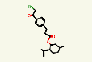 CC1CCC(C(C)C)C(OC(=O)CCc2ccc(C(=O)CBr)cc2)C1